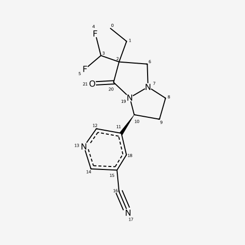 CCC1(C(F)F)CN2CC[C@@H](c3cncc(C#N)c3)N2C1=O